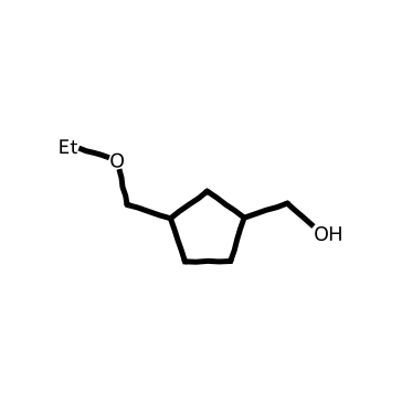 CCOCC1CCC(CO)C1